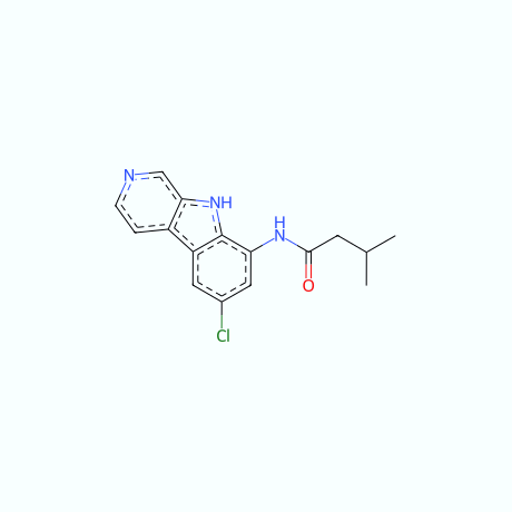 CC(C)CC(=O)Nc1cc(Cl)cc2c1[nH]c1cnccc12